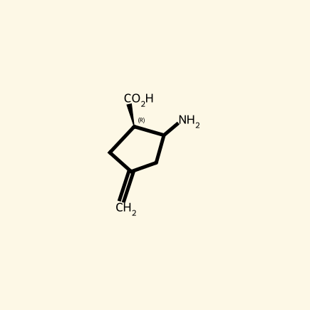 C=C1CC(N)[C@H](C(=O)O)C1